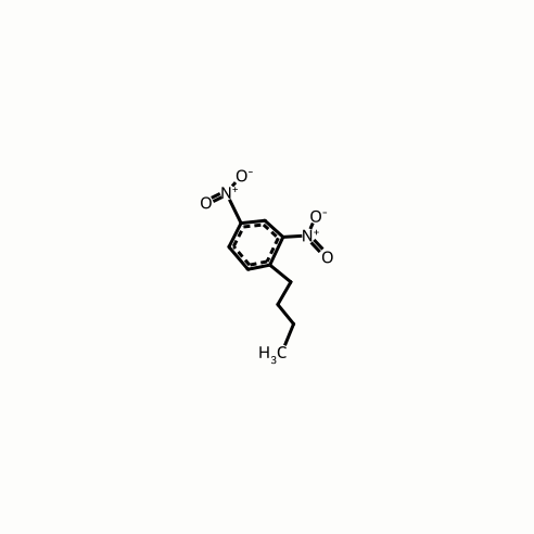 CCCCc1ccc([N+](=O)[O-])cc1[N+](=O)[O-]